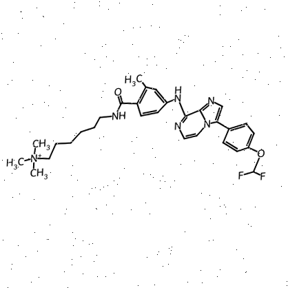 Cc1cc(Nc2nccn3c(-c4ccc(OC(F)F)cc4)cnc23)ccc1C(=O)NCCCCCC[N+](C)(C)C